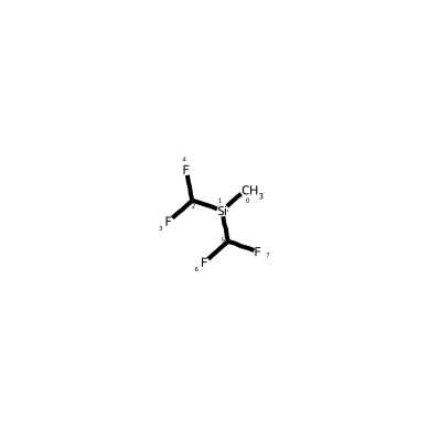 C[Si](C(F)F)C(F)F